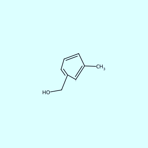 Cc1[c]c(CO)ccc1